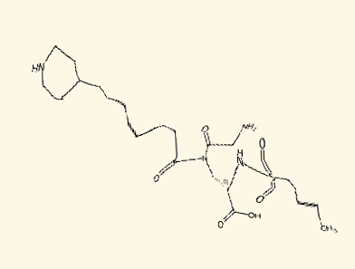 CCCCS(=O)(=O)N[C@@H](CN(C(=O)CN)C(=O)CCCCCC1CCNCC1)C(=O)O